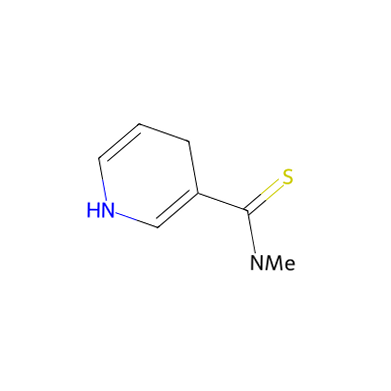 CNC(=S)C1=CNC=CC1